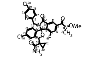 CON(C)C(=O)c1cc(F)c2c(c1)C(=O)N(Cc1ccc(Cl)cn1)[C@@]2(OCC1(C(N)=O)CC1)c1ccc(Cl)cc1